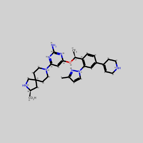 Cc1ccn(-c2cc(C3=CCNCC3)ccc2[C@@H](Oc2cc(N3CCC4(CC3)CN[C@H](C(=O)O)C4)nc(N)n2)C(F)(F)F)n1